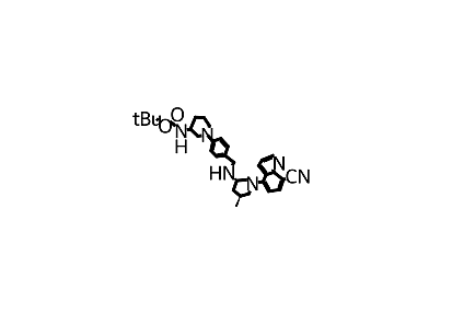 C[C@H]1C[C@@H](NCc2ccc(N3CCCC(NC(=O)OC(C)(C)C)C3)cc2)CN(c2ccc(C#N)c3ncccc23)C1